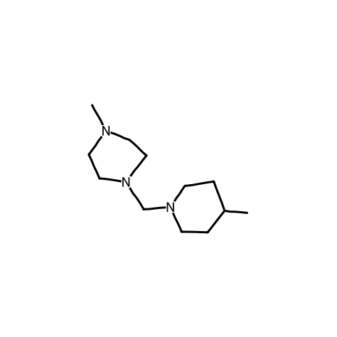 CC1CCN(CN2CCN(C)CC2)CC1